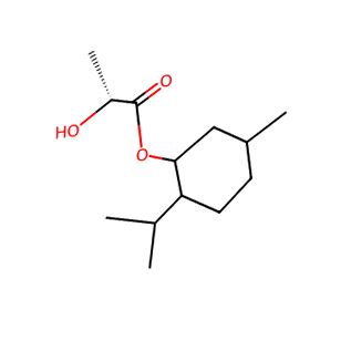 CC1CCC(C(C)C)C(OC(=O)[C@@H](C)O)C1